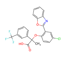 CC(Oc1ccc(Cl)cc1-c1nc2ccccc2o1)(C(=O)O)c1cccc(C(F)(F)F)c1